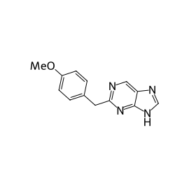 COc1ccc(Cc2ncc3nc[nH]c3n2)cc1